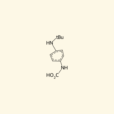 CC(C)(C)Nc1ccc(NC(=O)O)cc1